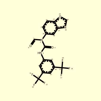 O=CN(C(=O)Nc1cc(C(F)(F)F)cc(C(F)(F)F)c1)c1ccc2ocnc2c1